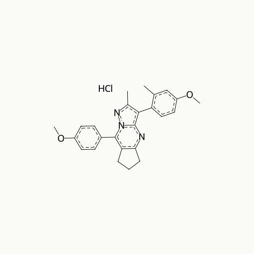 COc1ccc(-c2c3c(nc4c(-c5ccc(OC)cc5C)c(C)nn24)CCC3)cc1.Cl